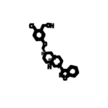 OCc1cc(OC[C@H]2CC[C@H]3CN(c4noc5ccccc45)CCN3C2)ccc1Cl